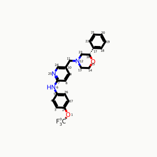 FC(F)(F)Oc1ccc(Nc2ccc(CN3CCO[C@@H](c4ccccc4)C3)cn2)cc1